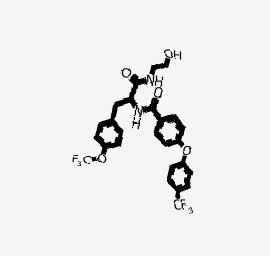 O=C(NC(Cc1ccc(OC(F)(F)F)cc1)C(=O)NCCO)c1ccc(Oc2ccc(C(F)(F)F)cc2)cc1